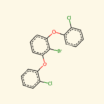 Clc1ccccc1Oc1cccc(Oc2ccccc2Cl)c1Br